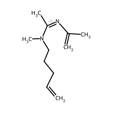 C=CCCCN(C)/C(C)=N\C(=C)C